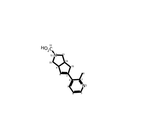 Cc1ncccc1C1=CC2CN(C(=O)O)CC2C1